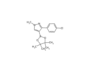 Cn1cc(B2OC(C)(C)C(C)(C)O2)c(-c2ccc(Cl)cc2)n1